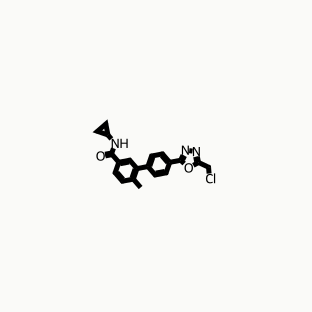 Cc1ccc(C(=O)NC2CC2)cc1-c1ccc(-c2nnc(CCl)o2)cc1